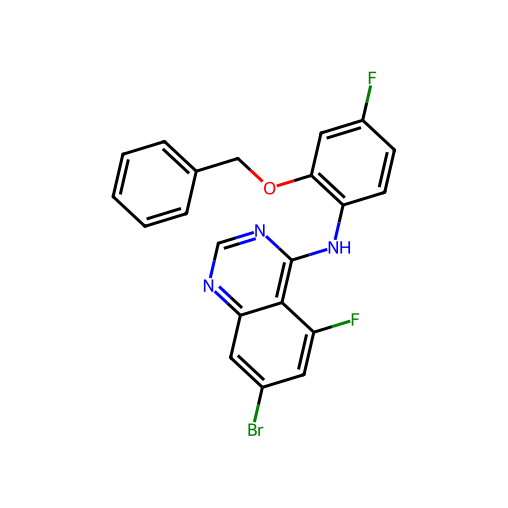 Fc1ccc(Nc2ncnc3cc(Br)cc(F)c23)c(OCc2ccccc2)c1